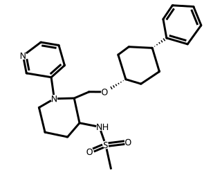 CS(=O)(=O)NC1CCCN(c2cccnc2)C1CO[C@H]1CC[C@@H](c2ccccc2)CC1